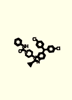 O=C(Nc1ccccc1)N1CCC(n2c(C3CC3)nc3ccc(C(c4ccc(Cl)cc4)c4ccc(Cl)cc4)cc32)CC1